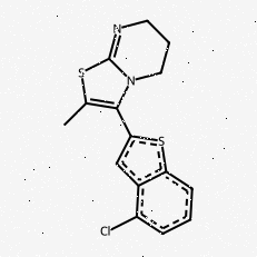 CC1=C(c2cc3c(Cl)cccc3s2)N2CCCN=C2S1